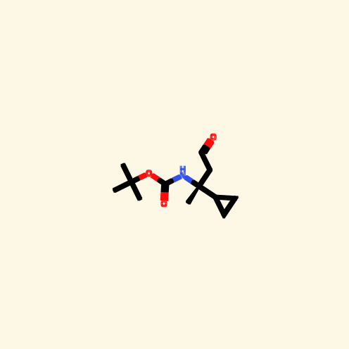 CC(C)(C)OC(=O)N[C@](C)(CC=O)C1CC1